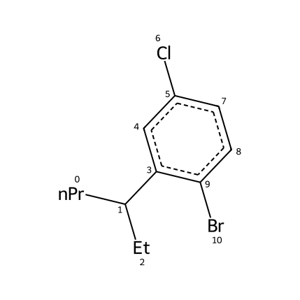 CCCC(CC)c1cc(Cl)ccc1Br